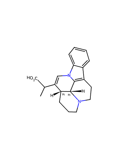 CC(C(=O)O)C1=Cn2c3c(c4ccccc42)CCN2CCC[C@H]1[C@H]32